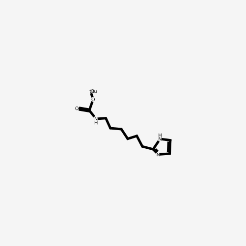 CC(C)(C)OC(=O)NCCCCCCc1ncc[nH]1